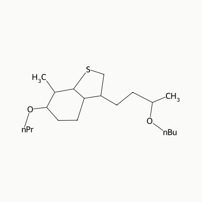 CCCCOC(C)CCC1CSC2C(C)C(OCCC)CCC12